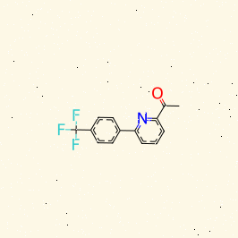 CC(=O)c1cccc(-c2ccc(C(F)(F)F)cc2)n1